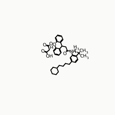 CC(C)(C)c1ccc(CCCCC2CCCCC2)cc1NC(=O)CC1c2ccccc2Oc2ccccc21.O=C(O)CC(=O)O